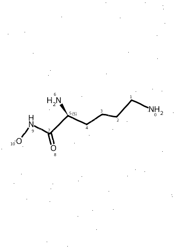 NCCCC[C@H](N)C(=O)N[O]